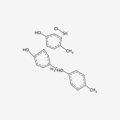 Cc1ccc(O)cc1.Cc1ccc(O)cc1.Cc1ccc(O)cc1.[Cl][Sn]